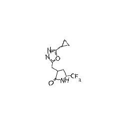 O=C1NC(C(F)(F)F)CC1Cc1nnc(C2CC2)o1